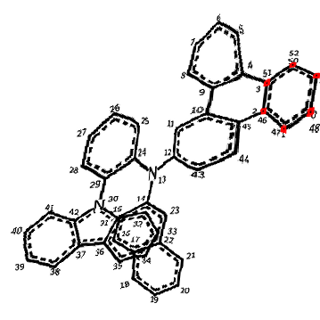 c1ccc(-c2ccccc2-c2cc(N(c3ccc4ccccc4c3)c3ccccc3-n3c4ccccc4c4ccccc43)ccc2-c2ccccc2)cc1